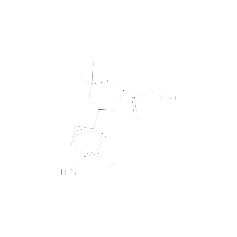 CCCCOC(=O)C1(C)CC(c2ccc(N)c(Br)n2)CC(C)(C)O1